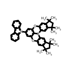 CC1(C)CC(C)(C)c2cc3c(cc21)Oc1cc(-n2c4ccccc4c4ccccc42)cc2c1B3c1cc3c(cc1O2)C(C)(C)CC3(C)C